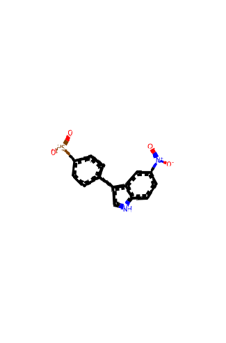 O=[N+]([O-])c1ccc2[nH]cc(-c3ccc([SH](=O)=O)cc3)c2c1